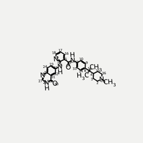 CN1CCC(C(C)(C)c2ccc(NC(=O)c3cccnc3Nc3ccc4nc[nH]c(=O)c4c3)cc2)CC1